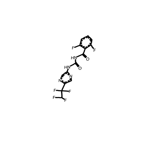 O=C(NC(=O)c1c(F)cccc1F)Nc1cnc(C(F)(F)C(F)F)cn1